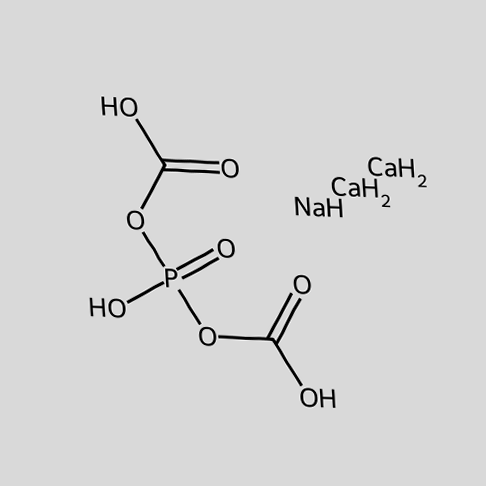 O=C(O)OP(=O)(O)OC(=O)O.[CaH2].[CaH2].[NaH]